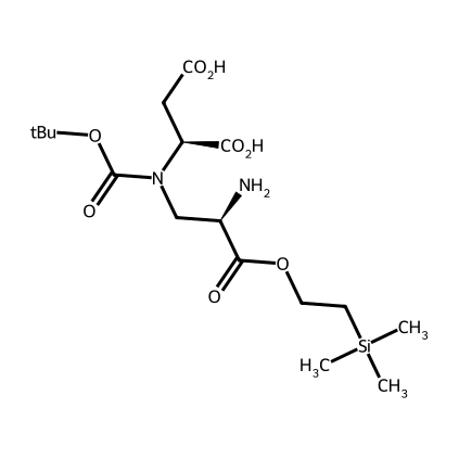 CC(C)(C)OC(=O)N(C[C@@H](N)C(=O)OCC[Si](C)(C)C)[C@@H](CC(=O)O)C(=O)O